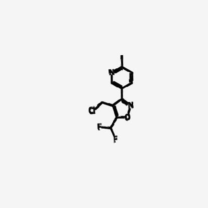 Cc1ccc(-c2noc(C(F)F)c2CCl)cn1